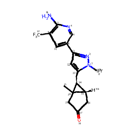 CC(C)n1nc(-c2cnc(N)c(C(F)(F)F)c2)cc1[C@H]1[C@@H]2CC(=O)CC21C